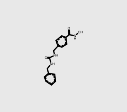 O=C(NCc1ccccc1)NCc1ccc(C(=O)NO)cc1